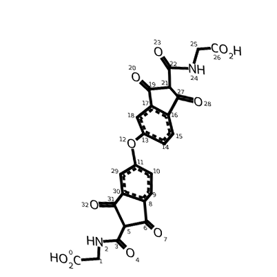 O=C(O)CNC(=O)C1C(=O)c2ccc(Oc3ccc4c(c3)C(=O)C(C(=O)NCC(=O)O)C4=O)cc2C1=O